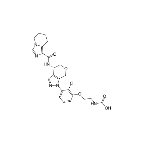 O=C(O)NCCOc1cccc(-n2ncc3c2COC[C@H]3NC(=O)c2ncn3c2CCCC3)c1Cl